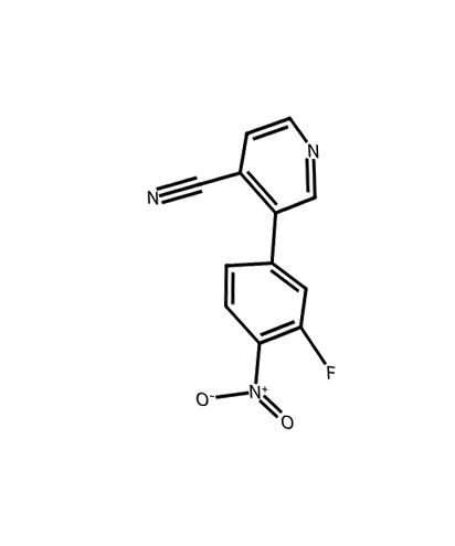 N#Cc1ccncc1-c1ccc([N+](=O)[O-])c(F)c1